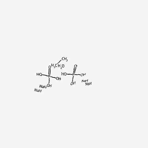 CC.O.O=P(O)(O)O.O=P(O)(O)O.[NaH].[NaH].[NaH].[NaH]